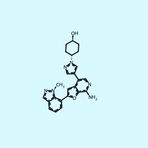 Cn1ncc2cccc(-c3cc4c(-c5cnn([C@H]6CC[C@H](O)CC6)c5)cnc(N)c4o3)c21